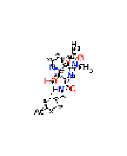 CC(=O)C1CCC(CNC(=O)c2nc(N(C)S(C)(=O)=O)c3cccnc3c2O)CC1